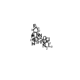 Cc1cnc(NC(=O)c2nn(-c3ccc(F)cc3F)c3c2C[C@H]2C[C@@H]32)c(Cl)c1